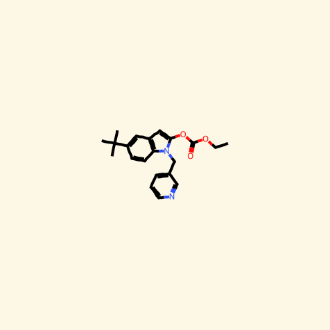 CCOC(=O)Oc1cc2cc(C(C)(C)C)ccc2n1Cc1cccnc1